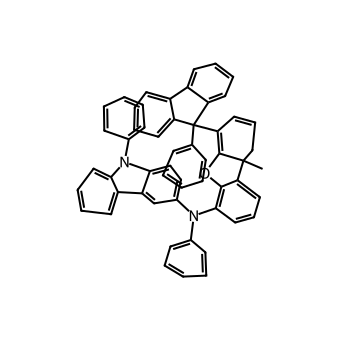 CC12CC=CC(C3(c4ccccc4)c4ccccc4-c4ccccc43)=C1Oc1c(N(c3ccccc3)c3ccc4c(c3)c3ccccc3n4-c3ccccc3)cccc12